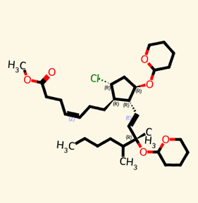 CCCCC(C)[C@](C)(/C=C/[C@@H]1[C@@H](CC/C=C\CCC(=O)OC)[C@H](Cl)C[C@H]1OC1CCCCO1)OC1CCCCO1